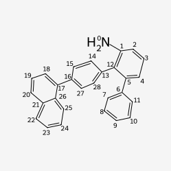 Nc1cccc(-c2ccccc2)c1-c1ccc(-c2cccc3ccccc23)cc1